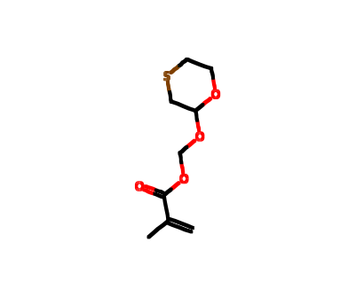 C=C(C)C(=O)OCOC1CSCCO1